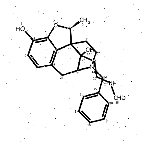 C[C@@H]1Oc2c(O)ccc3c2C12CCN(Cc1ccccc1)C(C3)C2(O)CCNC=O